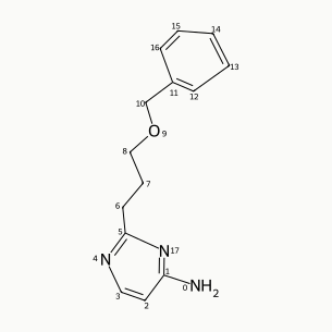 Nc1ccnc(CCCOCc2ccccc2)n1